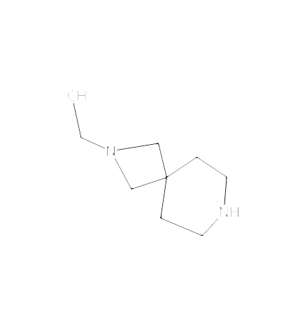 CCN1CC2(CCNCC2)C1